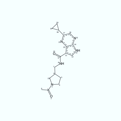 CC(=O)N1CCC(CNC(=O)c2c[nH]c3ncc(C4CC4)nc23)C1